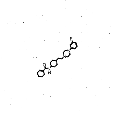 O=C(NC1CCC(CCN2CCN(c3cccc(F)c3)CC2)CC1)C1=CCCCC1